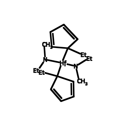 CC[N](C)[Hf]([N](C)CC)([C]1(CC)C=CC=C1)[C]1(CC)C=CC=C1